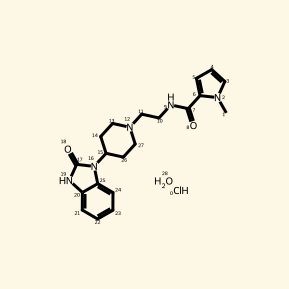 Cl.Cn1cccc1C(=O)NCCN1CCC(n2c(=O)[nH]c3ccccc32)CC1.O